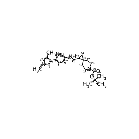 Cc1nn(C)cc1-c1ccc(NCC2CC23CCN(C(=O)OC(C)(C)C)CC3)nn1